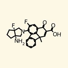 Cc1c(N2C[C@]3(N)CCC[C@]3(F)C2)c(F)cc2c1C(C)(c1ccccc1)C=C(C(=O)O)C2=O